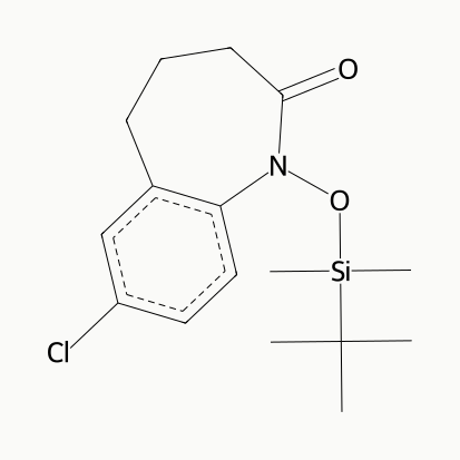 CC(C)(C)[Si](C)(C)ON1C(=O)CCCc2cc(Cl)ccc21